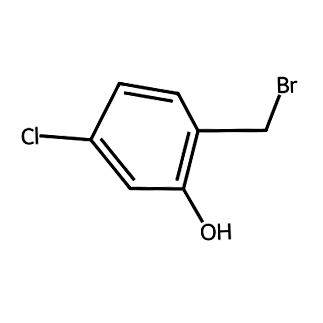 Oc1cc(Cl)ccc1CBr